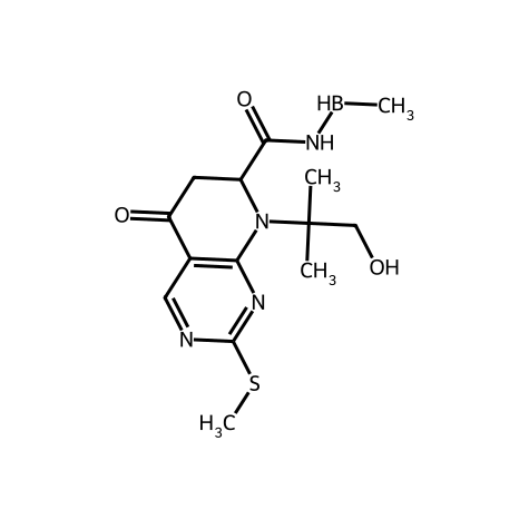 CBNC(=O)C1CC(=O)c2cnc(SC)nc2N1C(C)(C)CO